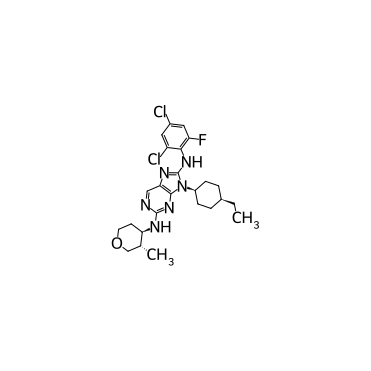 CC[C@H]1CC[C@@H](n2c(Nc3c(F)cc(Cl)cc3Cl)nc3cnc(N[C@@H]4CCOC[C@H]4C)nc32)CC1